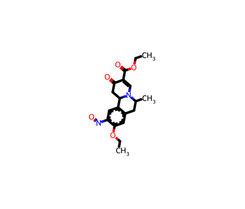 CCOC(=O)C1=CN2C(C)Cc3cc(OCC)c(N=O)cc3C2CC1=O